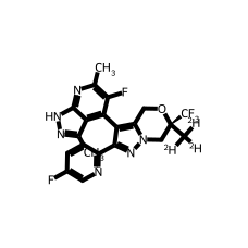 [2H]C([2H])([2H])[C@]1(C(F)(F)F)Cn2nc(-c3ccc(F)cn3)c(-c3c(F)c(C)nc4[nH]nc(C)c34)c2CO1